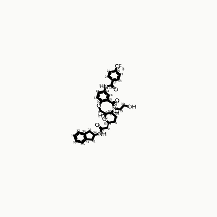 O=C(C[C@@H]1CC[C@H]2[C@H](COc3ccc(NC(=O)c4ccc(C(F)(F)F)cc4)cc3C(=O)N2CCO)O1)NC1Cc2ccccc2C1